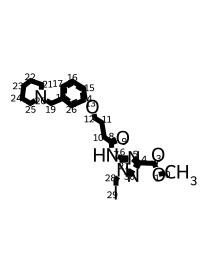 COC(=O)c1nc(NC(=O)CCCOc2cccc(CN3CCCCC3)c2)n(CI)n1